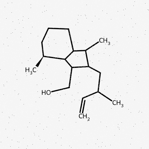 C=CC(C)CC1C(C)C2CCC[C@H](C)C2C1CO